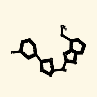 COc1cccc2oc(Nc3nnc(-c4cccc(F)c4)o3)nc12